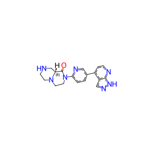 O=C1[C@H]2CNCCN2CCN1c1ccc(-c2ccnc3[nH]ncc23)cn1